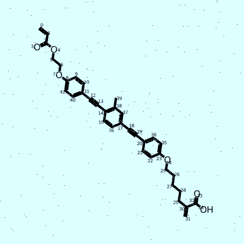 C=CC(=O)OCCOc1ccc(C#Cc2ccc(C#Cc3ccc(OCCCCCC(=C)C(=O)O)cc3)cc2C)cc1